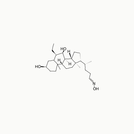 CC[C@@H]1C2C[C@H](O)CCC2(C)[C@H]2CC[C@]3(C)[C@@H]([C@H](C)CC/C=N/O)CC[C@H]3[C@@H]2[C@@H]1O